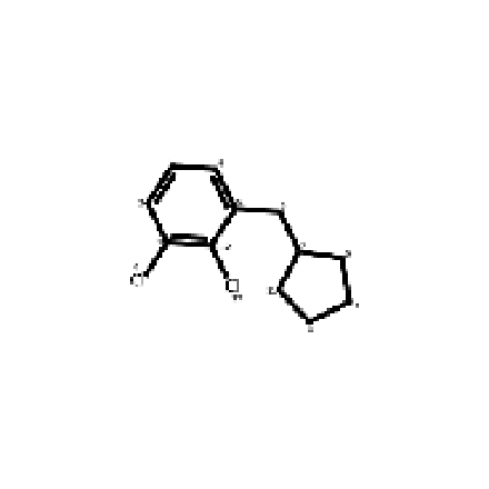 Clc1cccc(CC2CCCC2)c1Cl